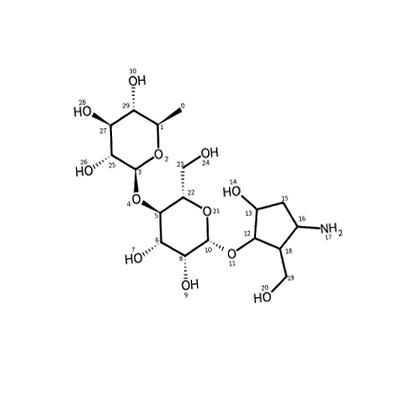 C[C@H]1O[C@@H](O[C@@H]2[C@@H](O)[C@@H](O)[C@@H](OC3C(O)CC(N)C3CO)O[C@H]2CO)[C@H](O)[C@@H](O)[C@@H]1O